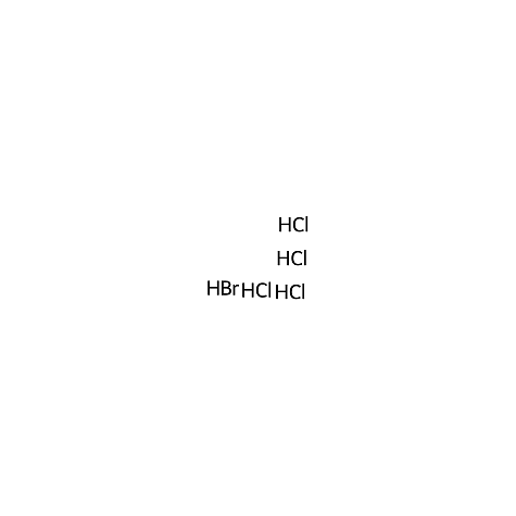 Br.Cl.Cl.Cl.Cl